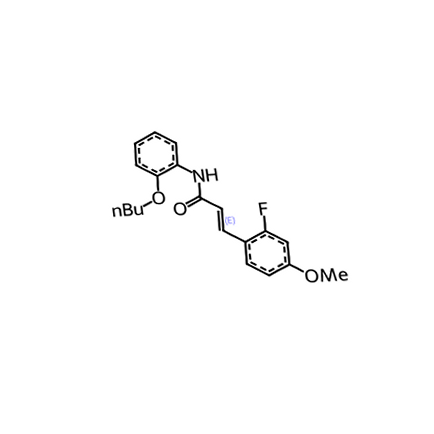 CCCCOc1ccccc1NC(=O)/C=C/c1ccc(OC)cc1F